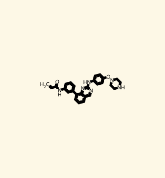 C=CC(=O)Nc1cccc(-c2cccc3cnc(Nc4ccc(ON5CCNCC5)cc4)nc23)c1